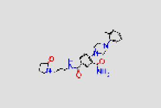 Cc1ccccc1N1CCN(c2ccc(C(=O)NCCCN3CCCC3=O)cc2C(N)=O)CC1